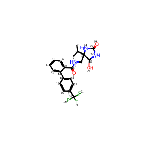 CC(C)C1(CNC(=O)c2ccccc2-c2ccc(C(F)(F)F)cc2)NC(=O)NC1O